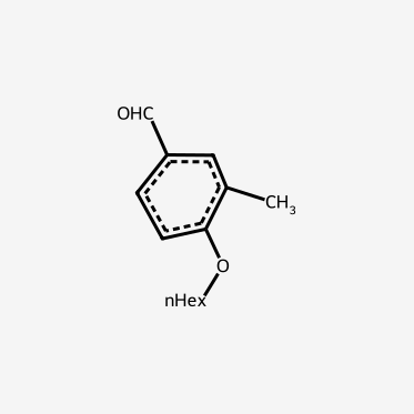 CCCCCCOc1ccc(C=O)cc1C